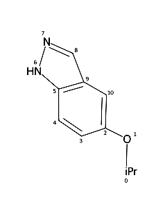 CC(C)Oc1ccc2[nH]ncc2c1